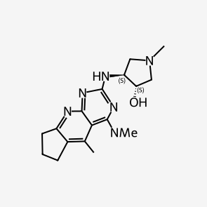 CNc1nc(N[C@H]2CN(C)C[C@@H]2O)nc2nc3c(c(C)c12)CCC3